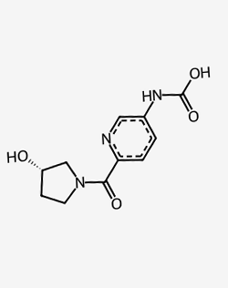 O=C(O)Nc1ccc(C(=O)N2CC[C@H](O)C2)nc1